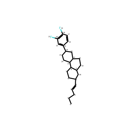 CCC/C=C/C1CCC2C(CCC3CC(c4ccc(F)c(F)c4)CCC32)C1